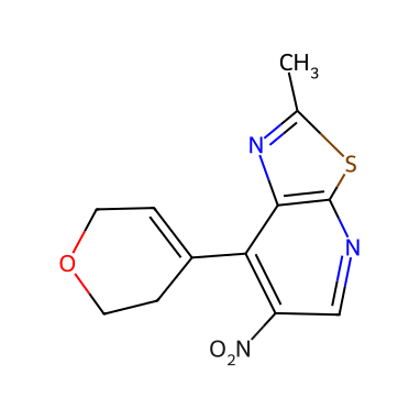 Cc1nc2c(C3=CCOCC3)c([N+](=O)[O-])cnc2s1